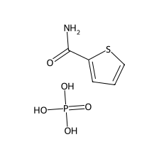 NC(=O)c1cccs1.O=P(O)(O)O